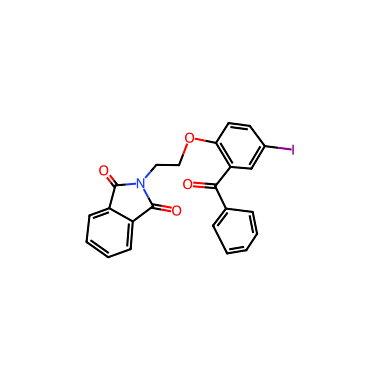 O=C(c1ccccc1)c1cc(I)ccc1OCCN1C(=O)c2ccccc2C1=O